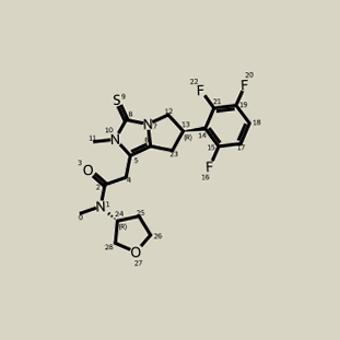 CN(C(=O)Cc1c2n(c(=S)n1C)C[C@@H](c1c(F)ccc(F)c1F)C2)[C@@H]1CCOC1